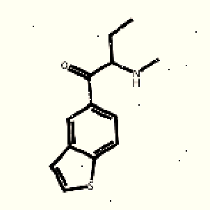 CCC(NC)C(=O)c1ccc2sccc2c1